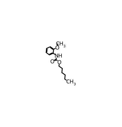 CCCCCCOC(=O)Nc1ccccc1OC